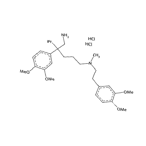 COc1ccc(CCN(C)CCCC(CN)(c2ccc(OC)c(OC)c2)C(C)C)cc1OC.Cl.Cl